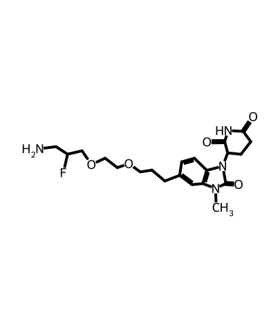 Cn1c(=O)n(C2CCC(=O)NC2=O)c2ccc(CCCOCCOCC(F)CN)cc21